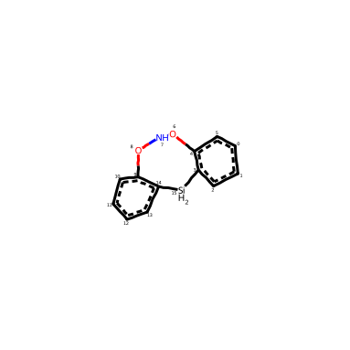 c1ccc2c(c1)ONOc1ccccc1[SiH2]2